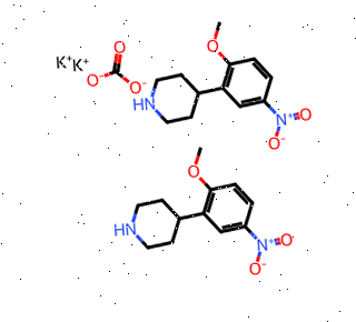 COc1ccc([N+](=O)[O-])cc1C1CCNCC1.COc1ccc([N+](=O)[O-])cc1C1CCNCC1.O=C([O-])[O-].[K+].[K+]